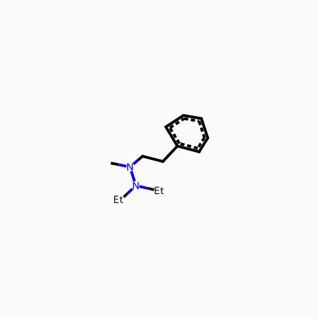 CCN(CC)N(C)CCc1ccccc1